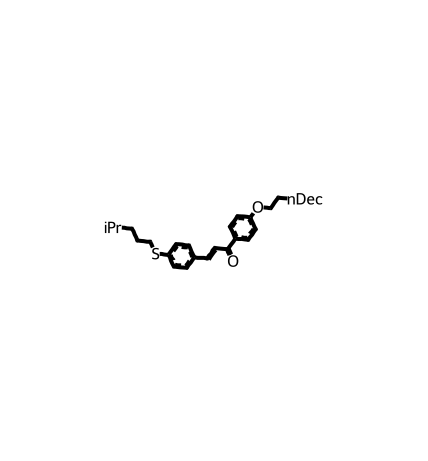 CCCCCCCCCCCCOc1ccc(C(=O)C=Cc2ccc(SCCCC(C)C)cc2)cc1